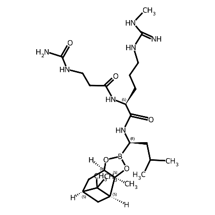 CNC(=N)NCCC[C@H](NC(=O)CCNC(N)=O)C(=O)N[C@@H](CC(C)C)B1O[C@@H]2C[C@@H]3C[C@@H](C3(C)C)[C@]2(C)O1